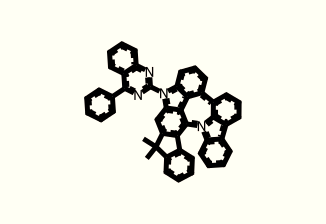 CC1(C)c2ccccc2-c2c1cc1c3c4c(cccc4n1-c1nc(-c4ccccc4)c4ccccc4n1)c1cccc4c5ccccc5n(c23)c14